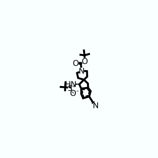 CC(C)(C)OC(=O)N1CCC2(CC1)Cc1cc(C#N)ccc1[C@H]2N[S@+]([O-])C(C)(C)C